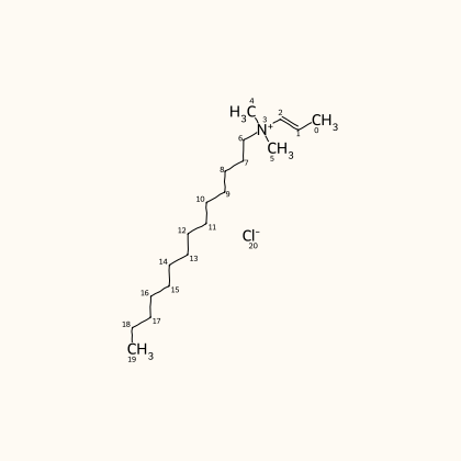 CC=C[N+](C)(C)CCCCCCCCCCCCCC.[Cl-]